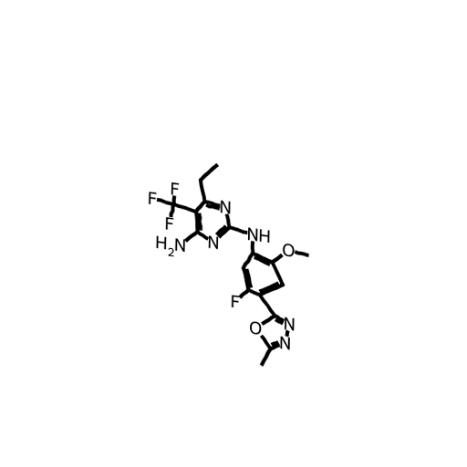 CCc1nc(Nc2cc(F)c(-c3nnc(C)o3)cc2OC)nc(N)c1C(F)(F)F